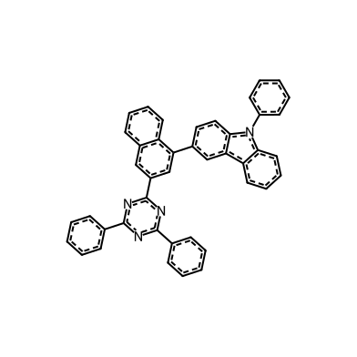 c1ccc(-c2nc(-c3ccccc3)nc(-c3cc(-c4ccc5c(c4)c4ccccc4n5-c4ccccc4)c4ccccc4c3)n2)cc1